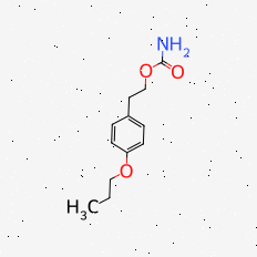 CCCOc1ccc(CCOC(N)=O)cc1